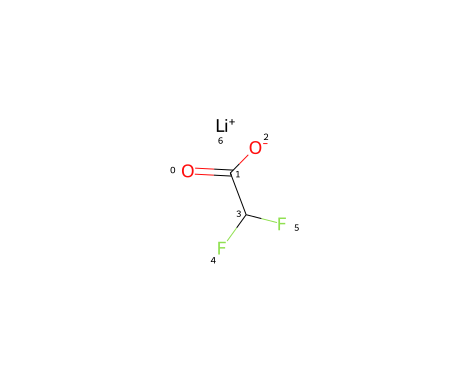 O=C([O-])C(F)F.[Li+]